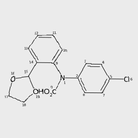 O=C(O)N(c1ccc(Cl)cc1)c1ccccc1C1OCCO1